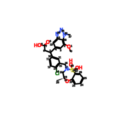 COc1cc(C(CC(=O)O)c2ccc(Cl)c(CN3C[C@@H](C)Oc4ccccc4S3(O)O)c2)cc2nnn(C)c12